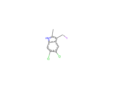 Cc1[nH]c2cc(Cl)c(Cl)cc2c1CI